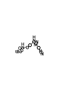 CN1CCN(c2ccc(-c3cnc4[nH]cc(-c5ccc(OCCNC(=O)OC(C)(C)C)cc5)c4n3)cc2)CC1